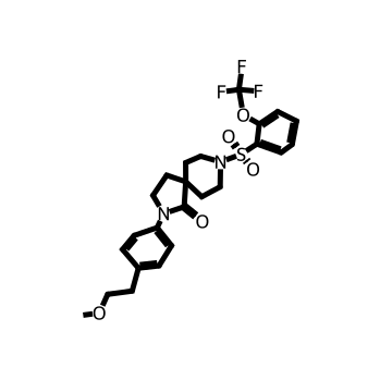 COCCc1ccc(N2CCC3(CCN(S(=O)(=O)c4ccccc4OC(F)(F)F)CC3)C2=O)cc1